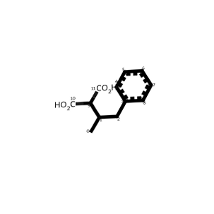 CC(Cc1ccccc1)C(C(=O)O)C(=O)O